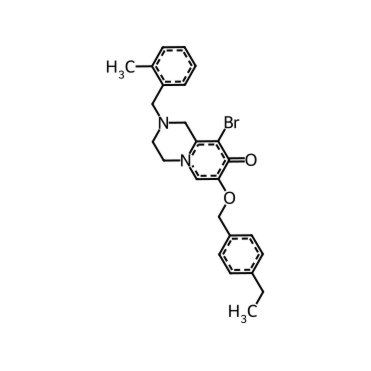 CCc1ccc(COc2cn3c(c(Br)c2=O)CN(Cc2ccccc2C)CC3)cc1